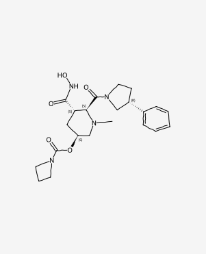 CN1C[C@@H](OC(=O)N2CCC2)C[C@H](C(=O)NO)[C@H]1C(=O)N1CC[C@H](c2ccccc2)C1